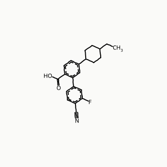 CCC1CCC(c2ccc(C(=O)O)c(-c3ccc(C#N)c(F)c3)c2)CC1